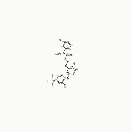 N#CC(C(=O)CCOc1cc(Oc2ccc(C(F)(F)F)cc2Cl)ccc1Cl)c1cccc(Br)c1